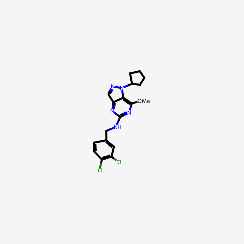 COc1nc(NCc2ccc(Cl)c(Cl)c2)nc2cnn(C3CCCC3)c12